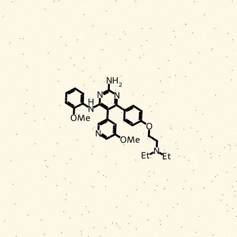 CCN(CC)CCOc1ccc(-c2nc(N)nc(Nc3ccccc3OC)c2-c2cncc(OC)c2)cc1